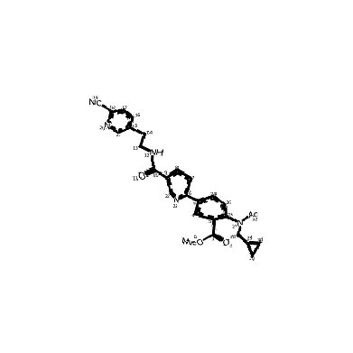 COC(=O)c1cc(-c2ccc(C(=O)NCCc3ccc(C#N)nc3)cn2)ccc1N(CC1CC1)C(C)=O